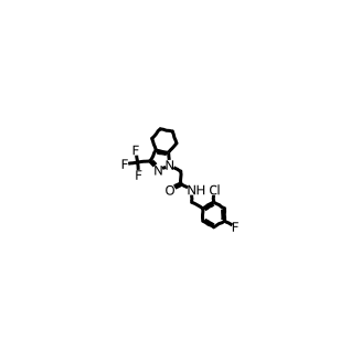 O=C(Cn1nc(C(F)(F)F)c2c1CCCC2)NCc1ccc(F)cc1Cl